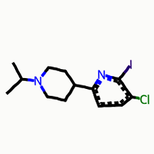 CC(C)N1CCC(c2ccc(Cl)c(I)n2)CC1